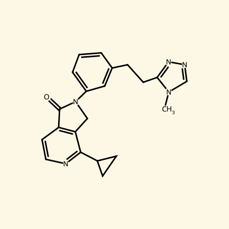 Cn1cnnc1CCc1cccc(N2Cc3c(ccnc3C3CC3)C2=O)c1